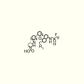 Cc1ccc2c(NC[C@H](O)C(F)F)cccc2c1Oc1ncccc1-c1ccnc(NC2CCCN(C(=O)O)C2)n1